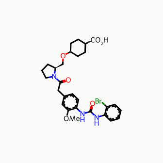 COc1cc(CC(=O)N2CCC[C@H]2COC2CCC(C(=O)O)CC2)ccc1NC(=O)Nc1ccccc1Br